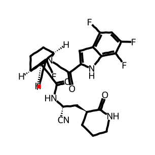 N#C[C@@H](C[C@@H]1CCCNC1=O)NC(=O)[C@H]1[C@H]2CC[C@H](CC2(F)F)N1C(=O)c1cc2c(F)cc(F)c(F)c2[nH]1